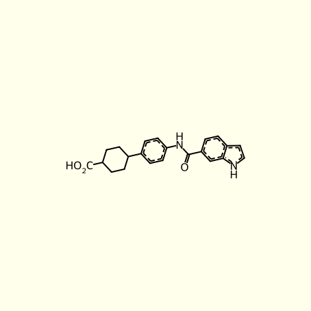 O=C(Nc1ccc(C2CCC(C(=O)O)CC2)cc1)c1ccc2cc[nH]c2c1